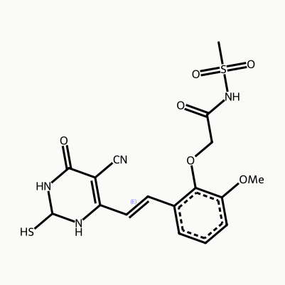 COc1cccc(/C=C/C2=C(C#N)C(=O)NC(S)N2)c1OCC(=O)NS(C)(=O)=O